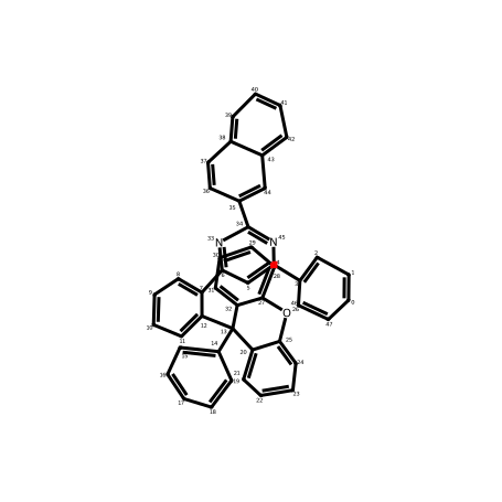 c1ccc(-c2cc(-c3ccccc3C3(c4ccccc4)c4ccccc4Oc4ccccc43)nc(-c3ccc4ccccc4c3)n2)cc1